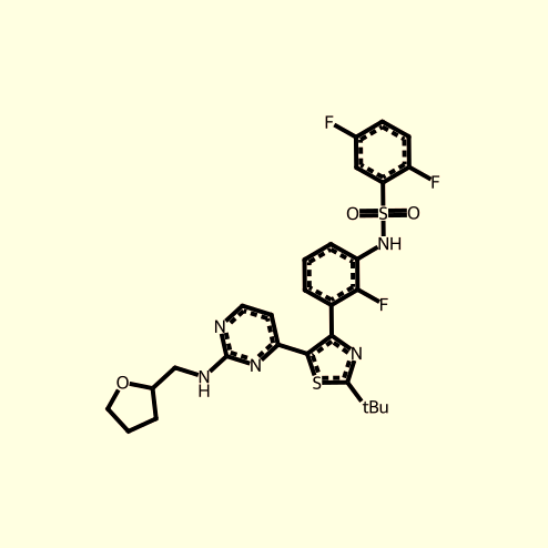 CC(C)(C)c1nc(-c2cccc(NS(=O)(=O)c3cc(F)ccc3F)c2F)c(-c2ccnc(NCC3CCCO3)n2)s1